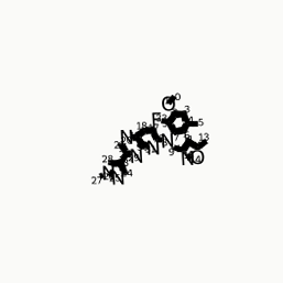 COc1cc(C)cc(N(Cc2cc(C)on2)c2ccc3ncc(-c4cnn(C)c4)nc3n2)c1F